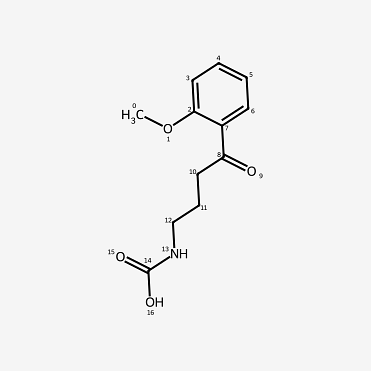 COc1ccccc1C(=O)CCCNC(=O)O